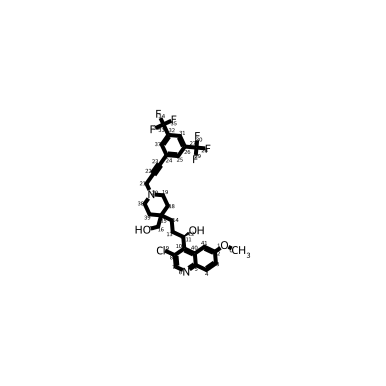 COc1ccc2ncc(Cl)c([C@H](O)CCC3(CO)CCN(CC#Cc4cc(C(F)(F)F)cc(C(F)(F)F)c4)CC3)c2c1